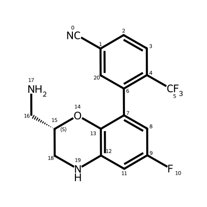 N#Cc1ccc(C(F)(F)F)c(-c2cc(F)cc3c2O[C@@H](CN)CN3)c1